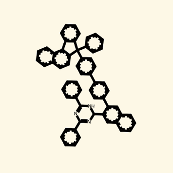 c1ccc(C2=NC(c3cc4ccccc4cc3-c3ccc(-c4ccc(C5(c6ccccc6)c6ccccc6-c6c5ccc5ccccc65)cc4)cc3)NC(c3ccccc3)=N2)cc1